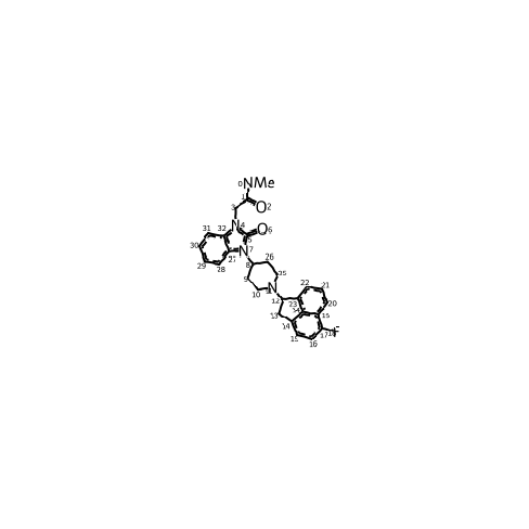 CNC(=O)Cn1c(=O)n(C2CCN(C3Cc4ccc(F)c5cccc3c45)CC2)c2ccccc21